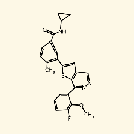 COc1c(F)cccc1-c1nncc2cc(-c3cc(C(=O)NC4CC4)ccc3C)sc12